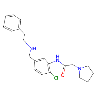 O=C(CN1CCCC1)Nc1cc(CNCCc2ccccc2)ccc1Cl